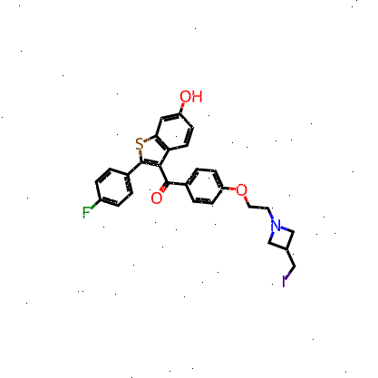 O=C(c1ccc(OCCN2CC(CI)C2)cc1)c1c(-c2ccc(F)cc2)sc2cc(O)ccc12